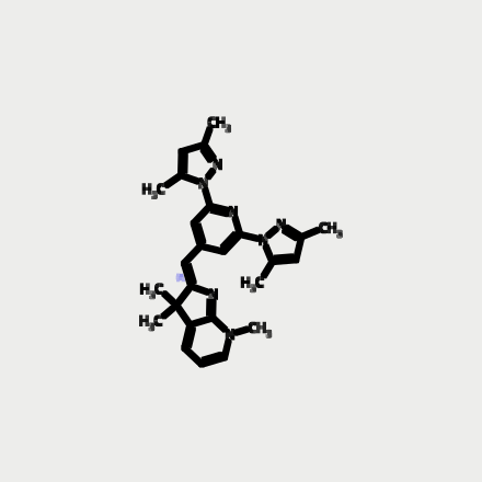 Cc1cc(C)n(-c2cc(/C=C3\N=C4C(=CC=CN4C)C3(C)C)cc(-n3nc(C)cc3C)n2)n1